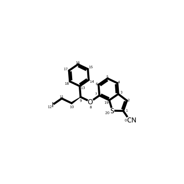 N#Cc1cc2cccc(O[C@@H](CCI)c3ccccc3)c2s1